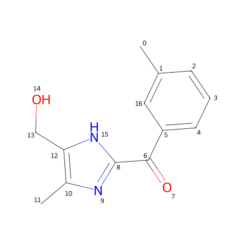 Cc1cccc(C(=O)c2nc(C)c(CO)[nH]2)c1